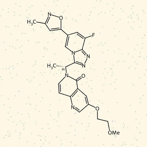 COCCOc1cnc2ccn([C@H](C)c3nnc4c(F)cc(-c5cc(C)no5)cn34)c(=O)c2c1